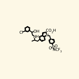 CC(Cc1ccc2c(c1)cc(C(=O)O)n2Cc1ccc(S(=O)(=O)NC(F)(F)F)cc1)NCC(O)c1cccc(Cl)c1